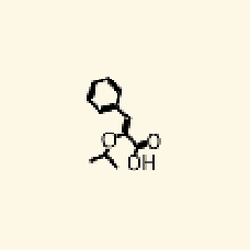 CC(C)OC(=Cc1ccccc1)C(=O)O